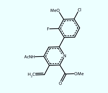 C=Cc1c(NC(C)=O)cc(-c2ccc(Cl)c(OC)c2F)nc1C(=O)OC